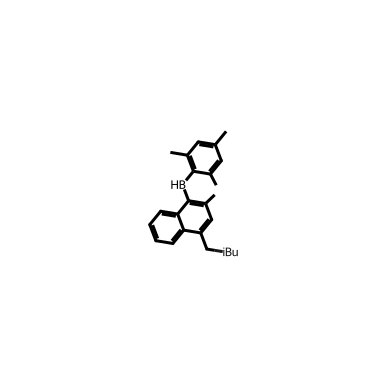 CCC(C)Cc1cc(C)c(Bc2c(C)cc(C)cc2C)c2ccccc12